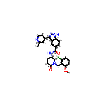 COc1cccc(F)c1CN1C[C@@H](NC(=O)c2ccc3[nH]nc(-c4ccnc(C)c4)c3c2)CCC1=O